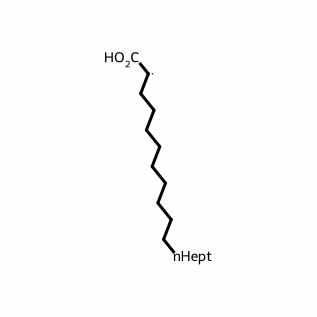 CCCCCCCCCCCCCCCC[CH]C(=O)O